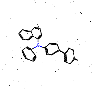 CC1=CC=C(c2ccc(N(c3ccccc3)c3cccc4ccccc34)cc2)CC1